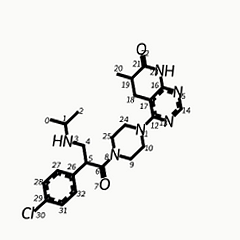 CC(C)NCC(C(=O)N1CCN(c2ncnc3c2CC(C)C(=O)N3)CC1)c1ccc(Cl)cc1